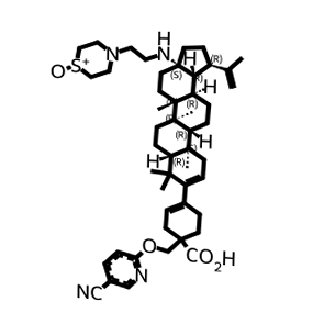 C=C(C)[C@@H]1CC[C@]2(NCCN3CC[S+]([O-])CC3)CC[C@]3(C)[C@H](CC[C@@H]4[C@@]5(C)CC=C(C6=CCC(COc7ccc(C#N)cn7)(C(=O)O)CC6)C(C)(C)[C@@H]5CC[C@]43C)[C@@H]12